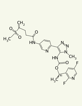 C=C(CCC(=O)Nc1ccc(-c2nnn(C)c2NC(=O)O[C@H](C)c2cc(F)cnc2F)nc1)S(C)(=O)=O